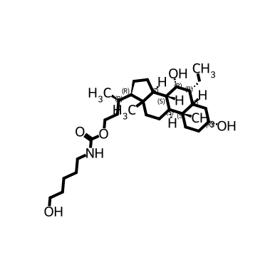 CC[C@H]1[C@@H](O)[C@H]2[C@@H]3CC[C@H]([C@H](C)CCOC(=O)NCCCCCO)C3(C)CC[C@@H]2[C@@]2(C)CC[C@@H](O)C[C@@H]12